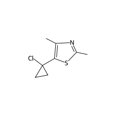 Cc1nc(C)c(C2(Cl)CC2)s1